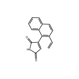 C=Cc1ccc2ccccc2c1C1=CC(=O)NC1=O